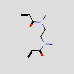 C=CC(=O)N(C)CCN(C)C(=O)C=C